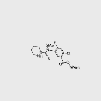 CCCCCOC(=O)c1cc(N(SC)C(=S)N2CCCCN2)c(F)cc1Cl